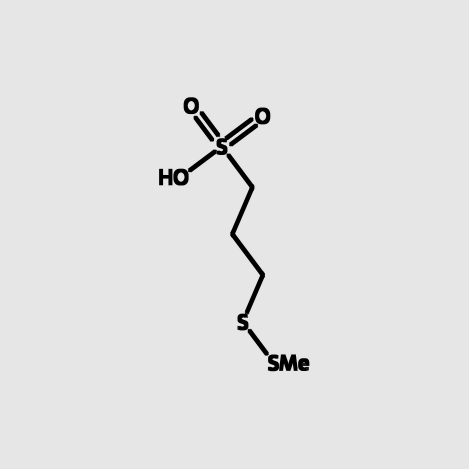 CSSCCCS(=O)(=O)O